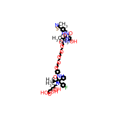 Cc1ncsc1-c1ccc(CNC(=O)[C@@H]2C[C@@H](O)CN2C(=O)[C@@H](NC(=O)COCCOCCOCCOCCOc2ccc(NC(=O)c3c(-c4ccccc4)c(-c4ccc(F)cc4)n(CC[C@@H](O)C[C@@H](O)CC(=O)O)c3C(C)C)cc2)C(C)(C)C)cc1